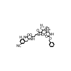 CC(C)C[C@H](NC(=O)OCc1ccccc1)C(=O)NC(C)C(=O)C(=O)NCCC(=O)N[C@@H](Cc1cccc(C#N)c1)C(N)=O